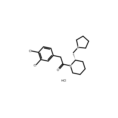 Cl.O=C(Cc1ccc(Cl)c(Cl)c1)N1CCCC[C@H]1CN1CCCC1